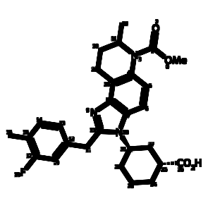 COC(=O)N1c2ccc3c(nc(Cc4ccc(C)c(F)c4)n3[C@@H]3CCC[C@@H](C(=O)O)C3)c2CCC1C